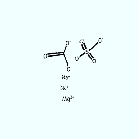 O=C([O-])[O-].O=S(=O)([O-])[O-].[Mg+2].[Na+].[Na+]